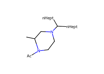 CCCCCCCC(CCCCCCC)N1CCN(C(C)=O)C(C)C1